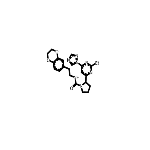 CCc1nc(C2CCCN2C(=O)NCCc2ccc3c(c2)OCCO3)cc(-n2cncn2)n1